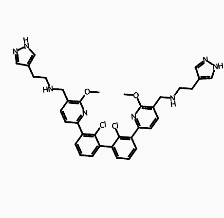 COc1nc(-c2cccc(-c3cccc(-c4ccc(CNCCc5cn[nH]c5)c(OC)n4)c3Cl)c2Cl)ccc1CNCCc1cn[nH]c1